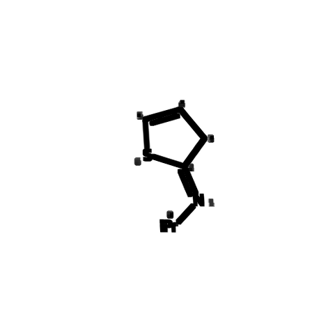 CC(C)N=C1CC=CS1